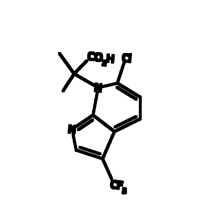 CC(C)(C(=O)O)n1c(Cl)ccc2c(C(F)(F)F)cnc1-2